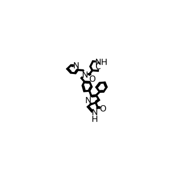 O=C(C1CCNCC1)N(Cc1ccc(-c2nc3cc[nH]c(=O)c3cc2-c2ccccc2)cc1)Cc1ccccn1